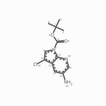 CC(C)(C)OC(=O)n1cc(Cl)c2cc(N)cnc21